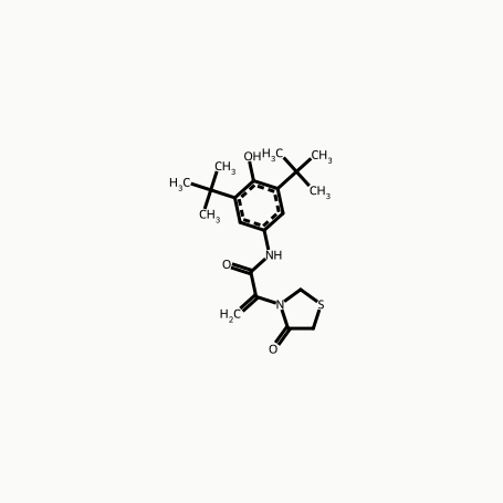 C=C(C(=O)Nc1cc(C(C)(C)C)c(O)c(C(C)(C)C)c1)N1CSCC1=O